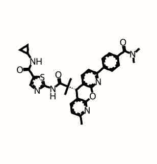 Cc1ccc2c(n1)Oc1nc(-c3ccc(C(=O)N(C)C)cc3)ccc1[C@H]2C(C)(C)C(=O)Nc1ncc(C(=O)NC2CC2)s1